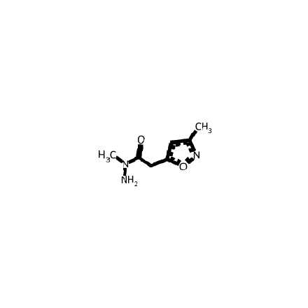 Cc1cc(CC(=O)N(C)N)on1